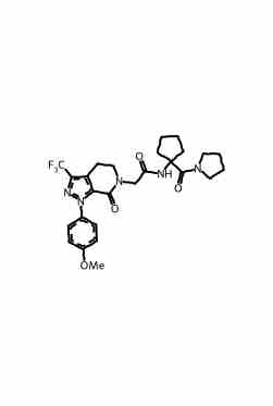 COc1ccc(-n2nc(C(F)(F)F)c3c2C(=O)N(CC(=O)NC2(C(=O)N4CCCC4)CCCC2)CC3)cc1